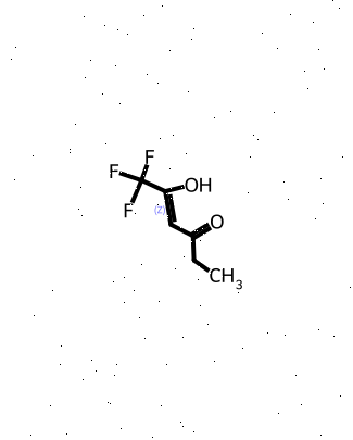 CCC(=O)/C=C(\O)C(F)(F)F